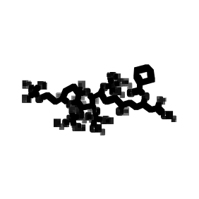 C=C(Br)CC(CCC(O)C=CC(O[Si](C)(C)C(C)(C)C)[C@@H]1O[C@H]2CC[C@H](CCO[Si](CC)(CC)CC)O[C@@H]2[C@H](O[Si](C)(C)C(C)(C)C)[C@@H]1O[Si](C)(C)C(C)(C)C)OC(=O)c1ccccc1